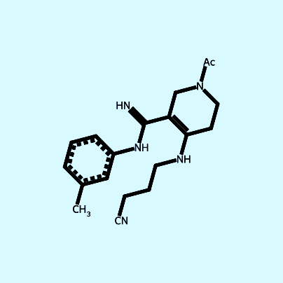 CC(=O)N1CCC(NCCCC#N)=C(C(=N)Nc2cccc(C)c2)C1